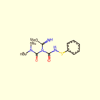 CCCCN(CCCC)C(=O)N(C(=N)OC)C(=O)NSc1ccccc1